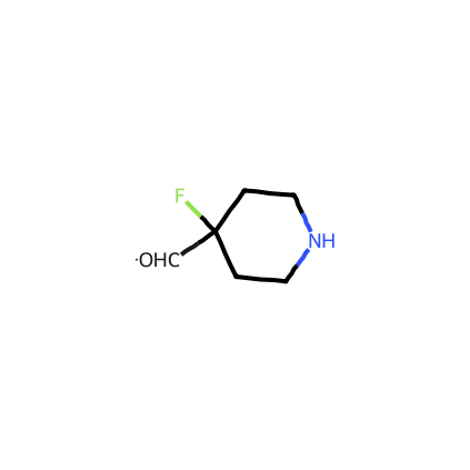 O=[C]C1(F)CCNCC1